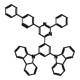 c1c(-c2ccccc2)ccc(-c2cc(-c3cc(N4c5ccccc5C5C=CC=CC54)cc(-n4c5ccccc5c5ccccc54)c3)nc(-c3ccccc3)n2)c#1